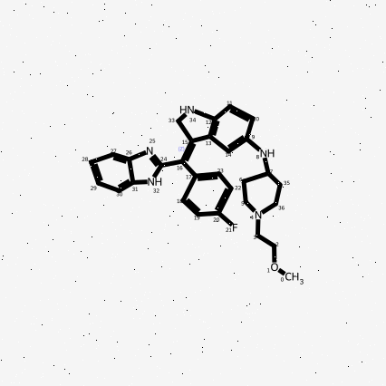 COCCN1CCC(Nc2ccc3c(c2)/C(=C(\c2ccc(F)cc2)c2nc4ccccc4[nH]2)CN3)CC1